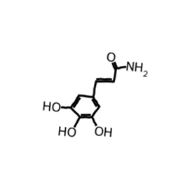 NC(=O)C=Cc1cc(O)c(O)c(O)c1